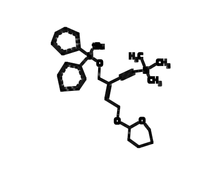 CC(C)(C)[Si](OC/C(C#C[Si](C)(C)C)=C/COC1CCCCO1)(c1ccccc1)c1ccccc1